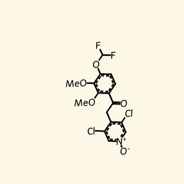 COc1c(OC(F)F)ccc(C(=O)Cc2c(Cl)c[n+]([O-])cc2Cl)c1OC